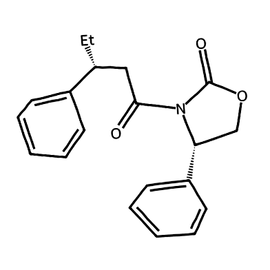 CC[C@H](CC(=O)N1C(=O)OC[C@@H]1c1ccccc1)c1ccccc1